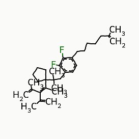 C=C(C)CCCCCc1ccc(CC(C)(C)C2(C(C)=C(C(=C)C)C(=C)C)CCCC2)c(F)c1F